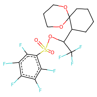 O=S(=O)(OC(C1CCCCC12OCCCO2)C(F)(F)F)c1c(F)c(F)c(F)c(F)c1F